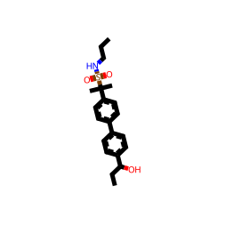 CCCNS(=O)(=O)C(C)(C)c1ccc(-c2ccc(C(O)CC)cc2)cc1